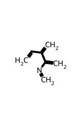 C=CC(=C)C(=C)N=C